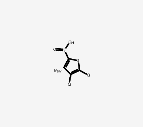 O=S(O)c1cc(Cl)c(Cl)s1.[NaH]